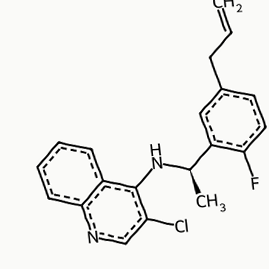 C=CCc1ccc(F)c([C@@H](C)Nc2c(Cl)cnc3ccccc23)c1